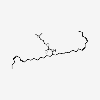 CCC/C=C\C/C=C\CCCCCCCCC(CCCCCCCC/C=C\C/C=C\CCC)NC(=O)OCCCN(C)C